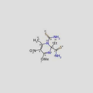 CCC1(C(N)=S)N=C(OC)C([N+](=O)[O-])=C(C)N1C(N)=S